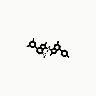 COc1ccc(-c2cc(C)cc(C)c2)c2c1C([Si](C)(C)C1C(C)=Cc3c(-c4ccc(C)cc4)cc(C)cc31)C(C)=C2